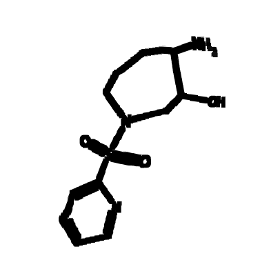 NC1CCCN(S(=O)(=O)c2ccccn2)CC1O